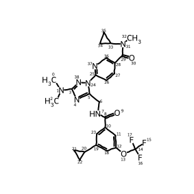 CN(C)c1nc(CNC(=O)c2cc(OC(F)(F)F)cc(C3CC3)c2)n(-c2ccc(C(=O)N(C)C3CC3)cn2)n1